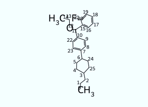 CCCC1CCC(c2ccc(C(OCC)c3ccccc3F)cc2)CC1